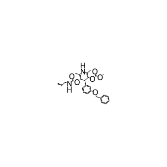 C=CCNC(=O)OC1=C(C)NC(C)=C(OC(=O)OC)C1c1cccc(OCc2ccccc2)c1